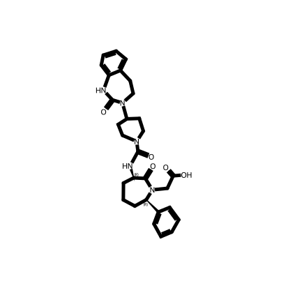 O=C(O)CN1C(=O)[C@H](NC(=O)N2CCC(N3CCc4ccccc4NC3=O)CC2)CCC[C@@H]1c1ccccc1